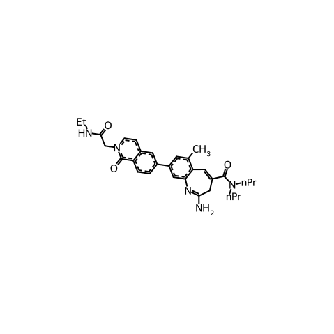 CCCN(CCC)C(=O)C1=Cc2c(C)cc(-c3ccc4c(=O)n(CC(=O)NCC)ccc4c3)cc2N=C(N)C1